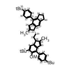 COc1c(C(C)(C)C)cc2c(c1-c1ccc(C(C)(C)C)cc1)C=C(C)C2CC[C@@H]1C(C)=Cc2c1cc1c(c2-c2ccc(C(C)(C)C)cc2)CCC1